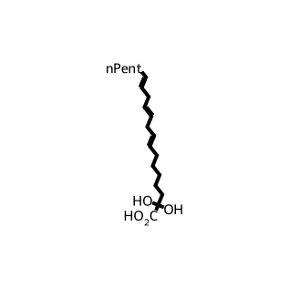 CCCCCC=CCC=CCC=CCCCCCC(O)(O)C(=O)O